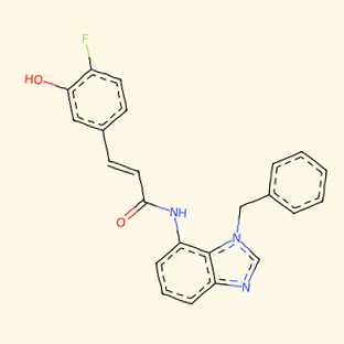 O=C(C=Cc1ccc(F)c(O)c1)Nc1cccc2ncn(Cc3ccccc3)c12